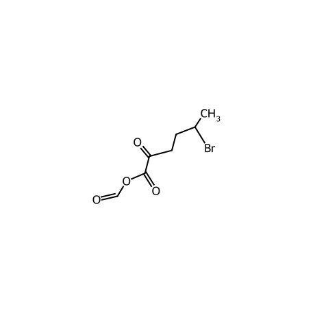 CC(Br)CCC(=O)C(=O)OC=O